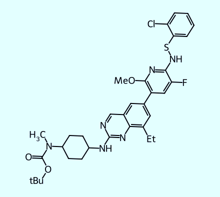 CCc1cc(-c2cc(F)c(NSc3ccccc3Cl)nc2OC)cc2cnc(NC3CCC(N(C)C(=O)OC(C)(C)C)CC3)nc12